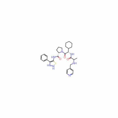 CC(NCc1ccncc1)C(=O)N[C@H](C(=O)N1CCC[C@H]1C(=O)NC1=C(c2ccccc2)NNS1)C1CCCCC1